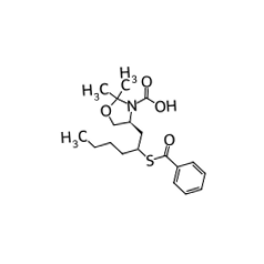 CCCCC(C[C@H]1COC(C)(C)N1C(=O)O)SC(=O)c1ccccc1